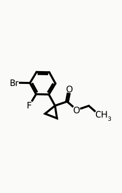 CCOC(=O)C1(c2cccc(Br)c2F)CC1